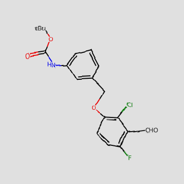 CC(C)(C)OC(=O)Nc1cccc(COc2ccc(F)c(C=O)c2Cl)c1